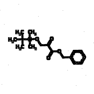 CC(C)(C)[Si](C)(C)OCC(=O)C(=O)OCc1ccccc1